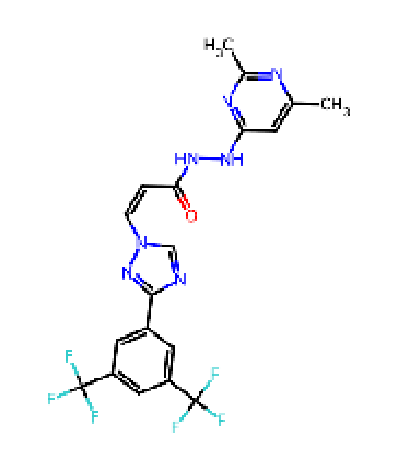 Cc1cc(NNC(=O)/C=C\n2cnc(-c3cc(C(F)(F)F)cc(C(F)(F)F)c3)n2)nc(C)n1